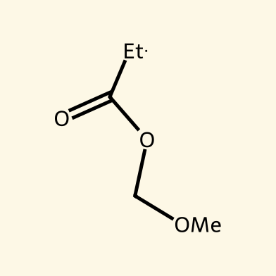 C[CH]C(=O)OCOC